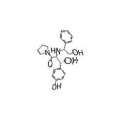 O=C([C@@H](NC(CO)c1ccccc1)[C@H](O)c1ccc(O)cc1)N1CCCC1